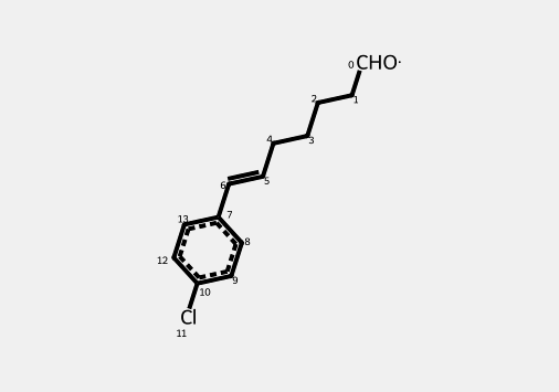 O=[C]CCCC/C=C/c1ccc(Cl)cc1